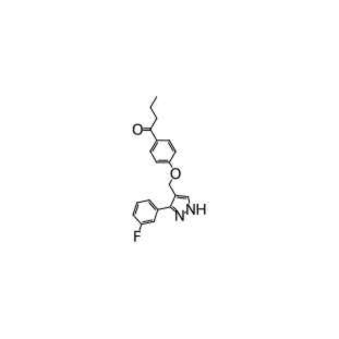 CCCC(=O)c1ccc(OCc2c[nH]nc2-c2cccc(F)c2)cc1